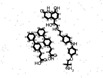 CC(C)(N)COc1ccc(Nc2ccc(CCNC[C@H](O)c3ccc(O)c4[nH]c(=O)ccc34)cc2)cc1.O=C(O)/C=C/c1ccc(-c2ccccc2)cc1.O=C(O)/C=C/c1ccc(-c2ccccc2)cc1